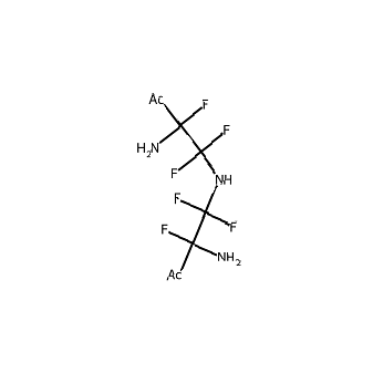 CC(=O)C(N)(F)C(F)(F)NC(F)(F)C(N)(F)C(C)=O